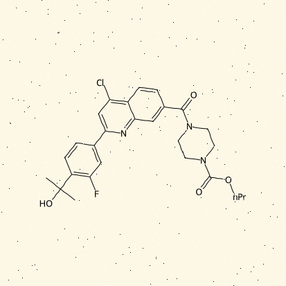 CCCOC(=O)N1CCN(C(=O)c2ccc3c(Cl)cc(-c4ccc(C(C)(C)O)c(F)c4)nc3c2)CC1